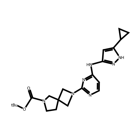 CC(C)(C)OC(=O)N1CCC2(C1)CN(c1nccc(Nc3cc(C4CC4)[nH]n3)n1)C2